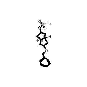 CS(=O)(=O)OC1C[C@H]2CC(OCc3ccccc3)C[C@H]2C1